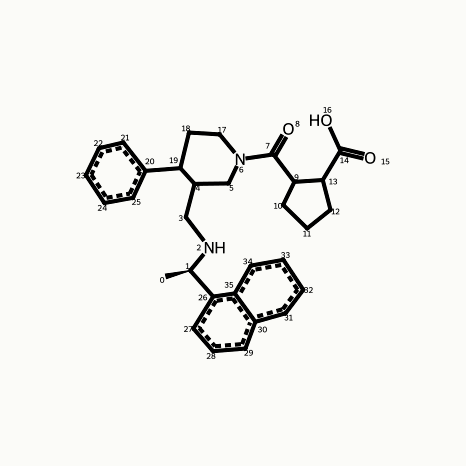 C[C@@H](NCC1CN(C(=O)C2CCCC2C(=O)O)CCC1c1ccccc1)c1cccc2ccccc12